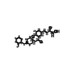 Cc1ccccc1CN1CCC2(CC1)CC(=O)c1cc(C=CC(=O)NO)ccc1O2